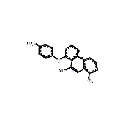 O=C/C(=C/c1c(Cl)cccc1C(F)(F)F)c1c(F)cccc1Nc1ccc(C(=O)O)cc1